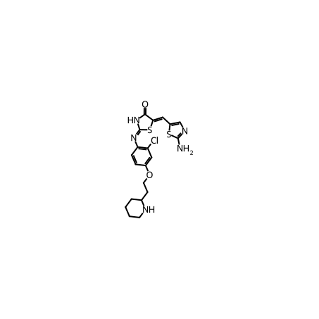 Nc1ncc(C=C2SC(=Nc3ccc(OCCC4CCCCN4)cc3Cl)NC2=O)s1